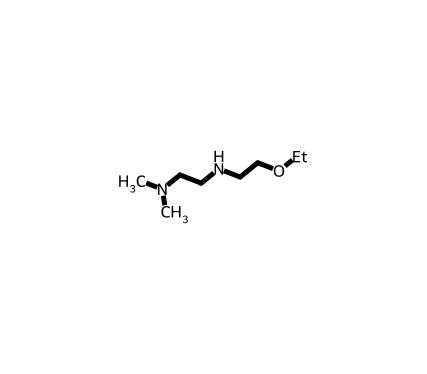 CCOCCNCCN(C)C